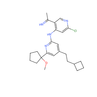 COC1(c2cc(CCC3CCC3)cc(Nc3cc(Cl)ncc3C(C)=N)n2)CCCC1